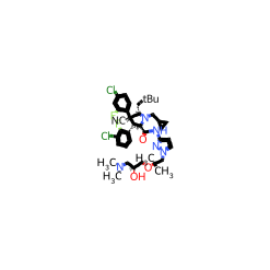 CN(C)C[C@@H](O)COC(C)(C)Cn1ccc(NC(=O)[C@H]2[C@H](c3cccc(Cl)c3F)[C@@](C#N)(c3ccc(Cl)cc3F)[C@H](CC(C)(C)C)N2CC2CC2)n1